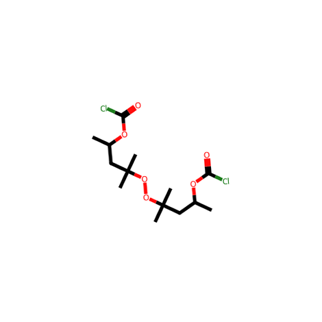 CC(CC(C)(C)OOC(C)(C)CC(C)OC(=O)Cl)OC(=O)Cl